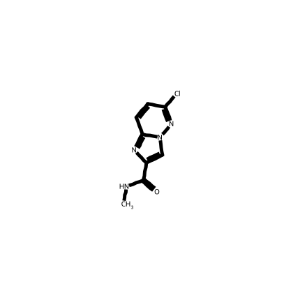 CNC(=O)c1cn2nc(Cl)ccc2n1